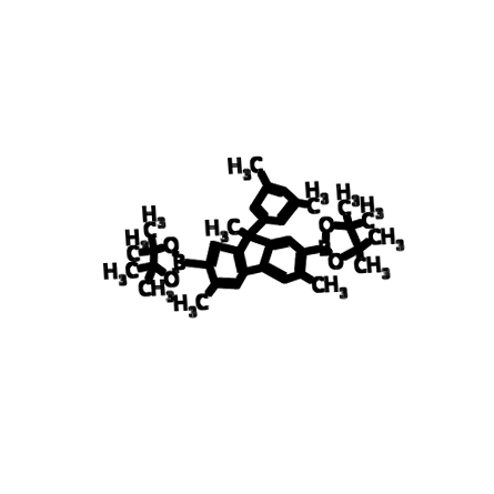 Cc1cc(C)cc(C2(C)c3cc(B4OC(C)(C)C(C)(C)O4)c(C)cc3-c3cc(C)c(B4OC(C)(C)C(C)(C)O4)cc32)c1